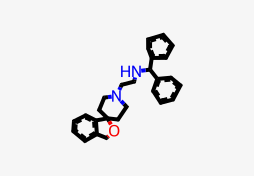 c1ccc(C(NCCN2CCC3(CC2)OCc2ccccc23)c2ccccc2)cc1